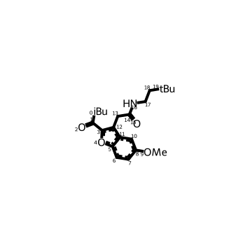 CCC(C)C(=O)c1oc2ccc(OC)cc2c1CC(=O)NCCC(C)(C)C